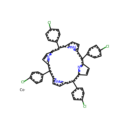 Clc1ccc(-c2c3nc(c(-c4ccc(Cl)cc4)c4ccc([nH]4)c(-c4ccc(Cl)cc4)c4nc(c(-c5ccc(Cl)cc5)c5ccc2[nH]5)C=C4)C=C3)cc1.[Co]